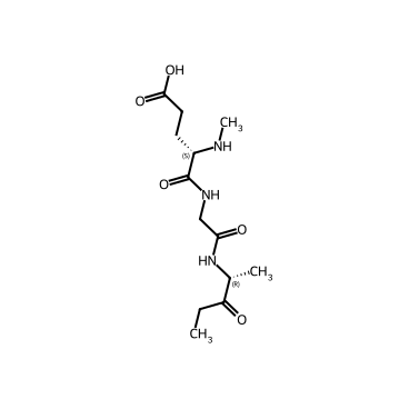 CCC(=O)[C@@H](C)NC(=O)CNC(=O)[C@H](CCC(=O)O)NC